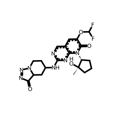 C[C@@]1(O)CCC[C@H]1n1c(=O)c(OC(F)F)cc2cnc(NC3CCN4N=NC(=O)C4C3)nc21